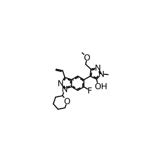 C=Cc1nn(C2CCCCO2)c2cc(F)c(-c3c(COC)nn(C)c3O)cc12